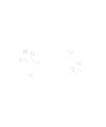 N#CN(CCCCCCCCCN(C#N)C(=N)Nc1ccncc1)C(=N)Nc1ccncc1